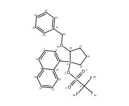 O=S(=O)(OS1(c2cccc3ccccc23)CCCC1OCc1ccccc1)C(F)(F)F